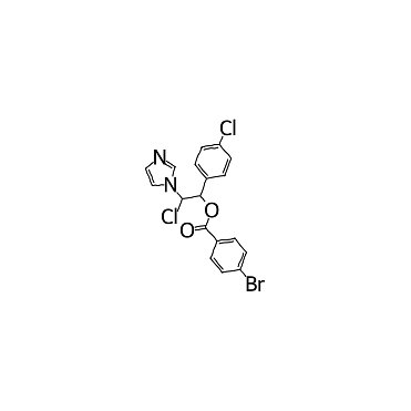 O=C(OC(c1ccc(Cl)cc1)C(Cl)n1ccnc1)c1ccc(Br)cc1